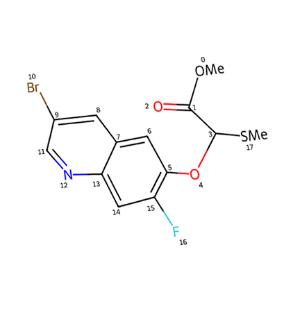 COC(=O)C(Oc1cc2cc(Br)cnc2cc1F)SC